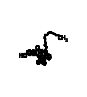 CCCCC/C=C\C/C=C\CCCCCCCC(=O)N1CCC[C@H]1C(=O)N1CCC[C@H]1C(=O)NCC(=O)N[C@@H](Cc1ccc(O)cc1)C(=O)O